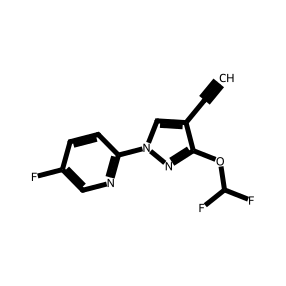 C#Cc1cn(-c2ccc(F)cn2)nc1OC(F)F